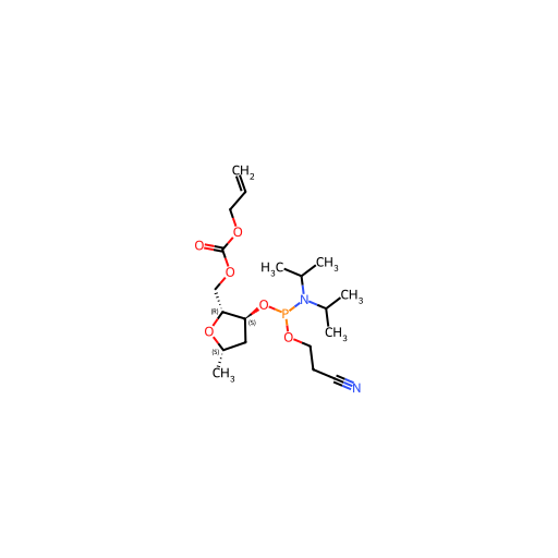 C=CCOC(=O)OC[C@H]1O[C@@H](C)C[C@@H]1OP(OCCC#N)N(C(C)C)C(C)C